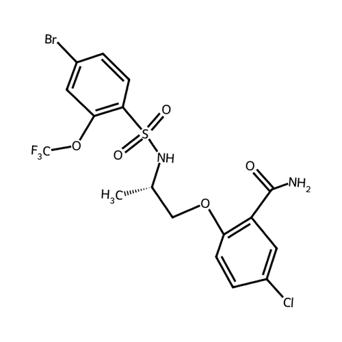 C[C@@H](COc1ccc(Cl)cc1C(N)=O)NS(=O)(=O)c1ccc(Br)cc1OC(F)(F)F